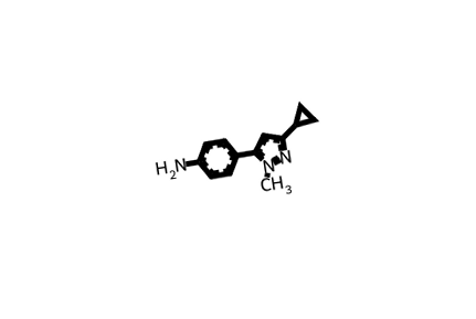 Cn1nc(C2CC2)cc1-c1ccc(N)cc1